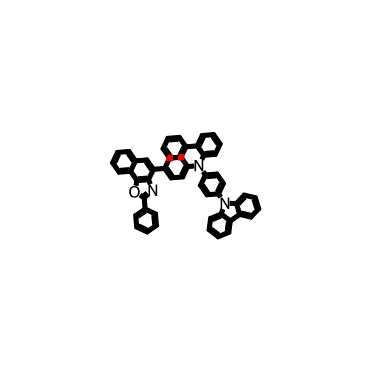 C1=C(c2cc3ccccc3c3oc(-c4ccccc4)nc23)CCC(N(c2ccc(-n3c4ccccc4c4ccccc43)cc2)c2ccccc2-c2ccccc2)=C1